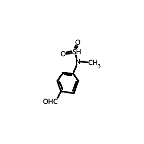 CN(c1ccc(C=O)cc1)[SH](=O)=O